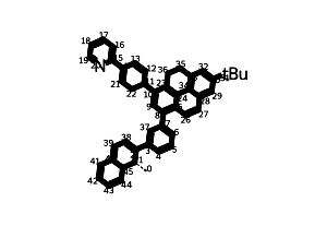 C[C@H]1C(c2cccc(-c3cc(C4C=CC(c5ccccn5)=CC4)c4c5c3ccc3cc(C(C)(C)C)cc(c35)CC4)c2)=CC=C2C=CC=CC21